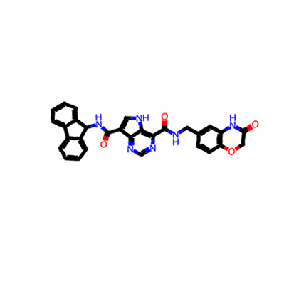 O=C1COc2ccc(CNC(=O)c3ncnc4c(C(=O)NC5c6ccccc6-c6ccccc65)c[nH]c34)cc2N1